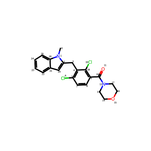 Cn1c(Cc2c(Cl)ccc(C(=O)N3CCOCC3)c2Cl)cc2ccccc21